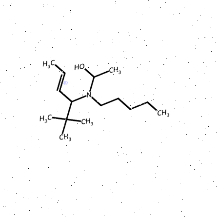 C/C=C/C(N(CCCCC)C(C)O)C(C)(C)C